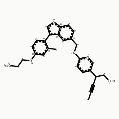 CC#CC(CC=O)c1ccc(OCc2ccc3scc(-c4ccc(OCCOC)cc4C)c3c2)nc1